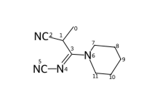 CC(C#N)C(=NC#N)N1CCCCC1